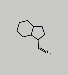 C=CC1CCC2CCCCC12